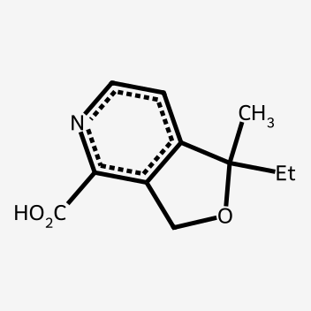 CCC1(C)OCc2c1ccnc2C(=O)O